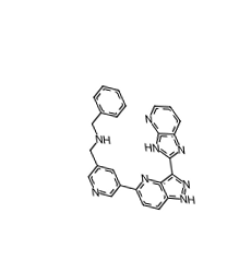 c1ccc(CNCc2cncc(-c3ccc4[nH]nc(-c5nc6cccnc6[nH]5)c4n3)c2)cc1